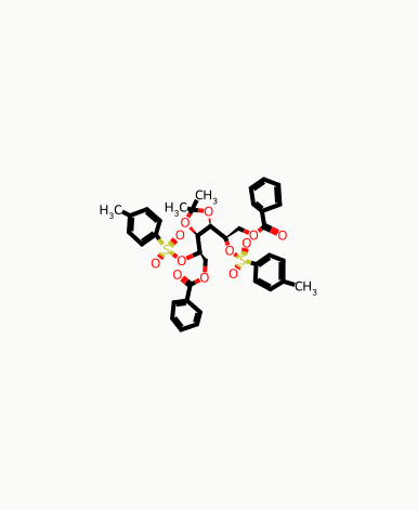 Cc1ccc(S(=O)(=O)O[C@H](COC(=O)c2ccccc2)[C@H]2OC(C)(C)O[C@@H]2[C@@H](COC(=O)c2ccccc2)OS(=O)(=O)c2ccc(C)cc2)cc1